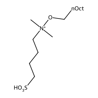 CCCCCCCCCO[N+](C)(C)CCCCS(=O)(=O)O